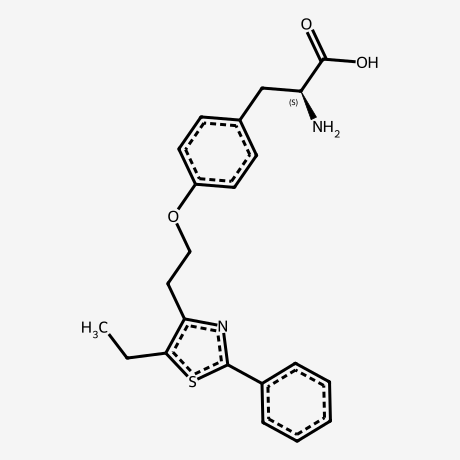 CCc1sc(-c2ccccc2)nc1CCOc1ccc(C[C@H](N)C(=O)O)cc1